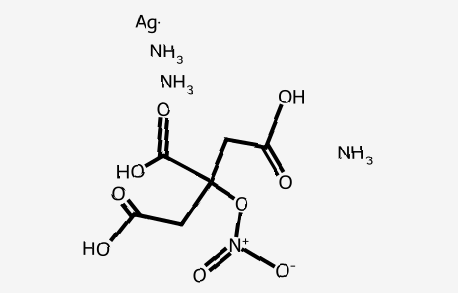 N.N.N.O=C(O)CC(CC(=O)O)(O[N+](=O)[O-])C(=O)O.[Ag]